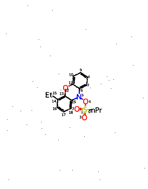 CCCS(=O)(=O)ON1c2ccccc2Oc2c(CC)cccc21